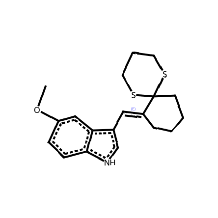 COc1ccc2[nH]cc(/C=C3\CCCCC34SCCCS4)c2c1